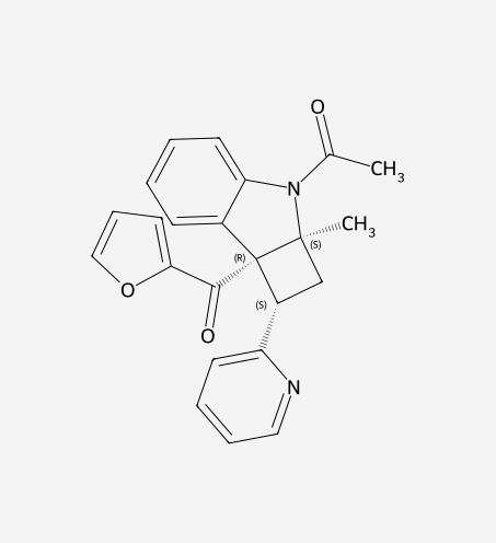 CC(=O)N1c2ccccc2[C@]2(C(=O)c3ccco3)[C@@H](c3ccccn3)C[C@]12C